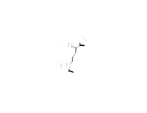 C=C(CC)NCCCC(N)C(=C)C(C)C